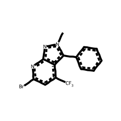 Cn1nc2nc(Br)cc(C(F)(F)F)c2c1-c1ccccc1